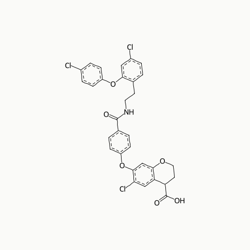 O=C(NCCc1ccc(Cl)cc1Oc1ccc(Cl)cc1)c1ccc(Oc2cc3c(cc2Cl)C(C(=O)O)CCO3)cc1